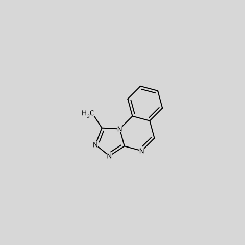 Cc1nnc2ncc3ccccc3n12